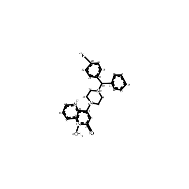 Cn1c(=O)cc(N2CCN(C(c3ccccc3)c3ccc(F)cc3)CC2)c2ncccc21